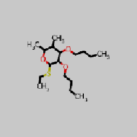 CCCCOC1C(SCC)OC(C)C(C)C1OCCCC